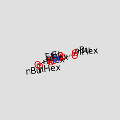 CCCCCCC(CCCC)COC(=O)CCCCCCCCC(CCCCCC)OC(=O)OCCN(CCOC(=O)OC(CCCCCC)CCCCCCCCC(=O)OCC(CCCC)CCCCCC)CCN(CC)CC